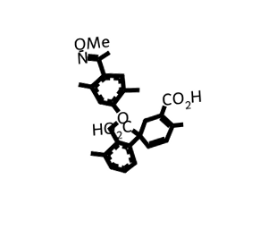 CON=C(C)c1cc(C)c(OCc2c(C)cccc2C2(C(=O)O)C=CC(C)=C(C(=O)O)C2)cc1C